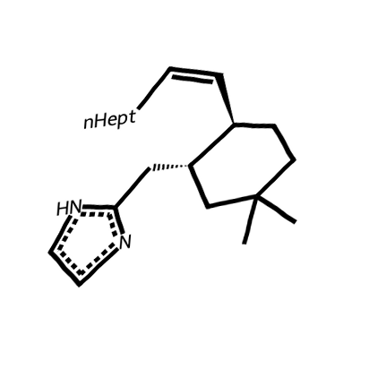 CCCCCCC/C=C\[C@H]1CCC(C)(C)C[C@@H]1Cc1ncc[nH]1